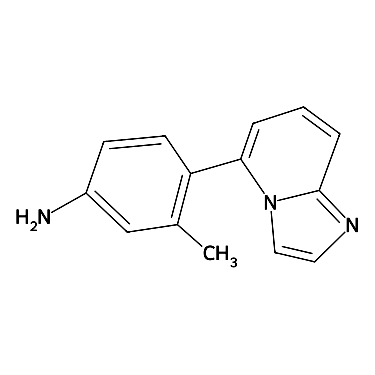 Cc1cc(N)ccc1-c1cccc2nccn12